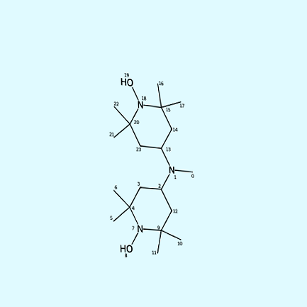 CN(C1CC(C)(C)N(O)C(C)(C)C1)C1CC(C)(C)N(O)C(C)(C)C1